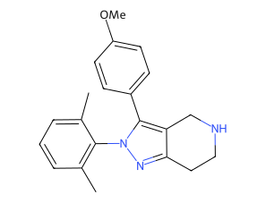 COc1ccc(-c2c3c(nn2-c2c(C)cccc2C)CCNC3)cc1